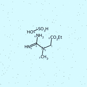 CCOC(=O)CN(C)C(=N)N.O=S(=O)(O)O